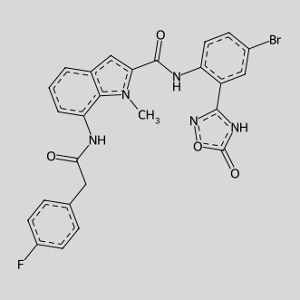 Cn1c(C(=O)Nc2ccc(Br)cc2-c2noc(=O)[nH]2)cc2cccc(NC(=O)Cc3ccc(F)cc3)c21